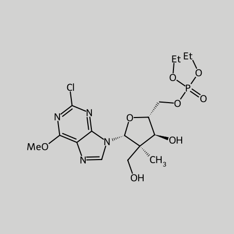 CCOP(=O)(OCC)OC[C@H]1O[C@@H](n2cnc3c(OC)nc(Cl)nc32)[C@](C)(CO)[C@@H]1O